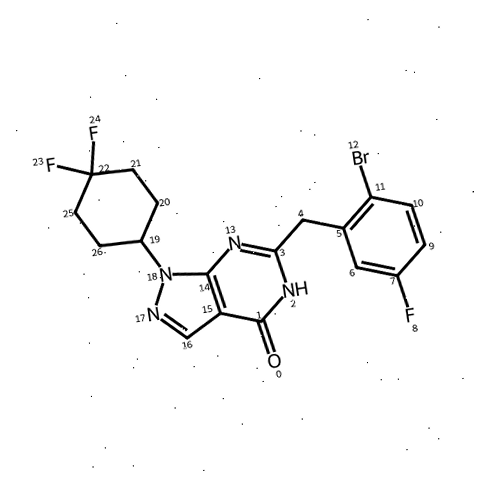 O=c1[nH]c(Cc2cc(F)ccc2Br)nc2c1cnn2C1CCC(F)(F)CC1